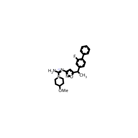 COC1CCN(/C(N)=N\c2cc(C(C)c3ccc(-c4ccccc4)c(F)c3)on2)CC1